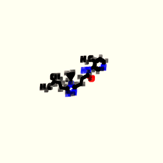 Cc1ccncc1NC(=O)CCc1nnc(CCC(C)C)n1C1CC1